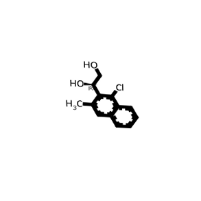 Cc1cc2ccccc2c(Cl)c1[C@@H](O)CO